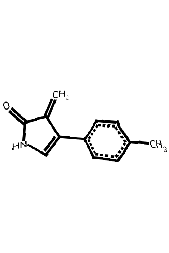 C=C1C(=O)NC=C1c1ccc(C)cc1